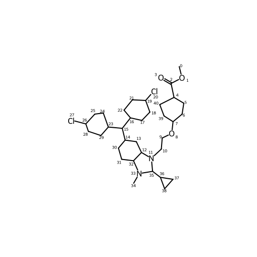 COC(=O)C1CCC(OCCN2C3CC(C(C4CCC(Cl)CC4)C4CCC(Cl)CC4)CCC3N(C)C2C2CC2)CC1